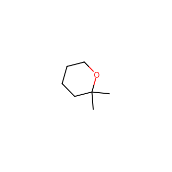 CC1(C)CCCCO1